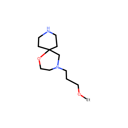 CCOCCCN1CCOC2(CCNCC2)C1